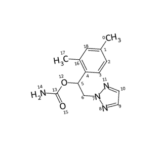 Cc1ccc(C(Cn2nccn2)OC(N)=O)c(C)c1